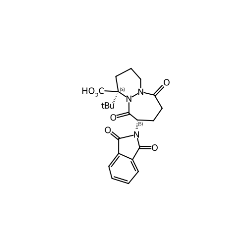 CC(C)(C)[C@]1(C(=O)O)CCCN2C(=O)CC[C@H](N3C(=O)c4ccccc4C3=O)C(=O)N21